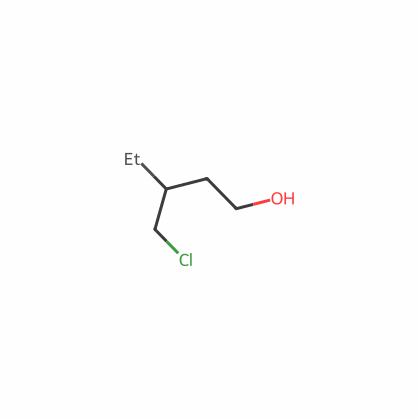 CCC(CCl)CCO